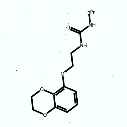 CCCNC(=O)NCCOc1cccc2c1OCCO2